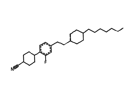 CCCCCCCC1CCC(CCc2ccc(C3CCC(C#N)CC3)c(F)c2)CC1